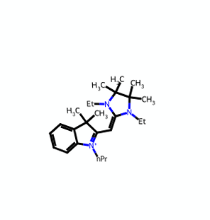 CCC[N+]1=C(C=C2N(CC)C(C)(C)C(C)(C)N2CC)C(C)(C)c2ccccc21